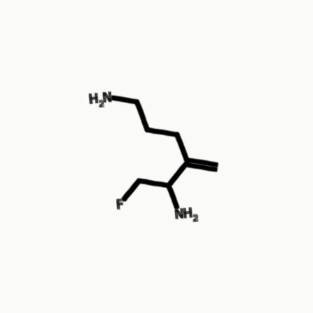 C=C(CCCN)C(N)CF